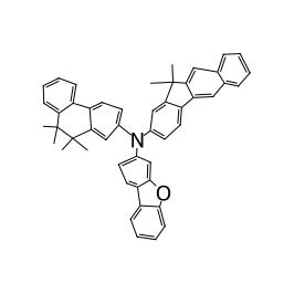 CC1(C)c2cc(N(c3ccc4c(c3)C(C)(C)C(C)(C)c3ccccc3-4)c3ccc4c(c3)oc3ccccc34)ccc2-c2cc3ccccc3cc21